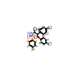 CC(NS(=O)(=O)c1ccc(F)cc1)C(Cc1ccc(Cl)cc1)c1ccc(Cl)cc1